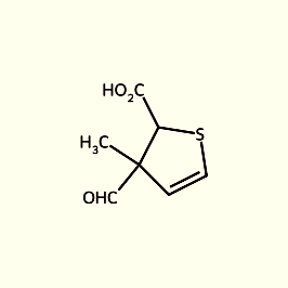 CC1(C=O)C=CSC1C(=O)O